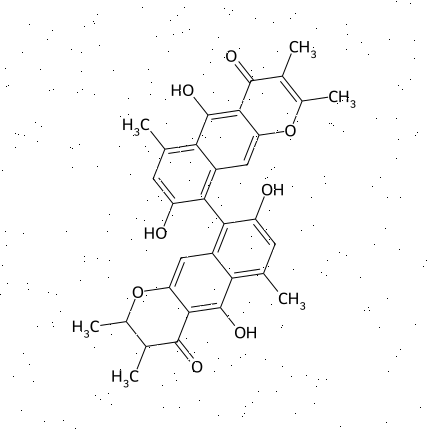 Cc1oc2cc3c(-c4c(O)cc(C)c5c(O)c6c(cc45)OC(C)C(C)C6=O)c(O)cc(C)c3c(O)c2c(=O)c1C